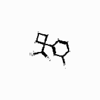 NC(=O)C1(C2=CC(F)CC=C2)CCC1